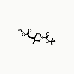 CCOC(=O)/C=C1\CCN(C(=O)OC(C)(C)C)CC1C